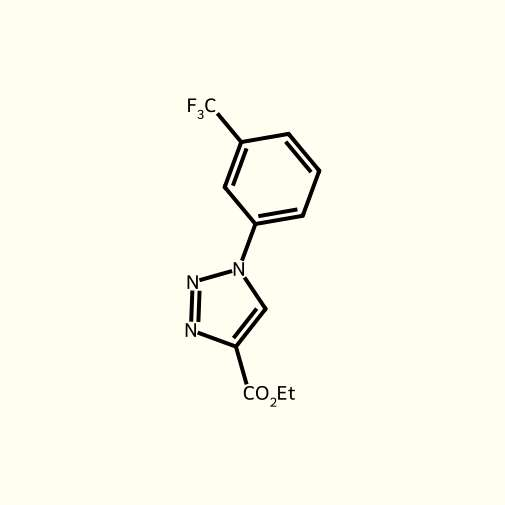 CCOC(=O)c1cn(-c2cccc(C(F)(F)F)c2)nn1